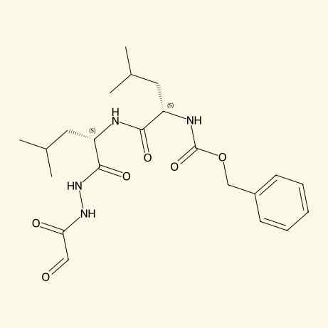 CC(C)C[C@H](NC(=O)OCc1ccccc1)C(=O)N[C@@H](CC(C)C)C(=O)NNC(=O)C=O